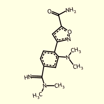 CN(C)C(=N)c1ccc(-c2cc(C(N)=O)on2)c(N(C)C)c1